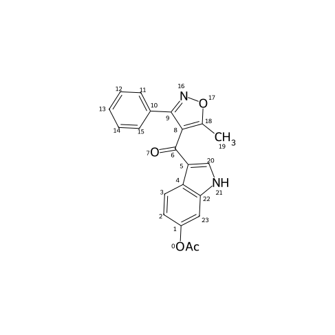 CC(=O)Oc1ccc2c(C(=O)c3c(-c4ccccc4)noc3C)c[nH]c2c1